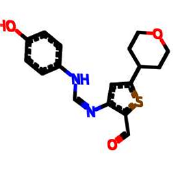 O=Cc1sc(C2CCOCC2)cc1/N=C\Nc1ccc(O)cc1